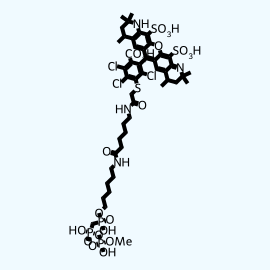 COP(=O)(O)OP(=O)(O)CP(=O)(O)OCCCCCCNC(=O)CCCCCNC(=O)CSc1c(Cl)c(Cl)c(C(=O)O)c(C2=c3cc4c(c(S(=O)(=O)O)c3Oc3c2cc2c(c3S(=O)(=O)O)NC(C)(C)CC2C)=NC(C)(C)CC4C)c1Cl